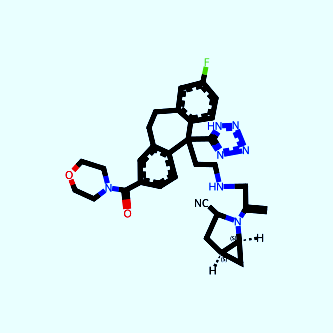 C=C(CNCCC1(c2nnn[nH]2)c2ccc(F)cc2CCc2cc(C(=O)N3CCOCC3)ccc21)N1C(C#N)C[C@@H]2C[C@@H]21